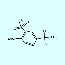 CCC(C)(C)c1ccc(OC)c(S(C)(=O)=O)c1